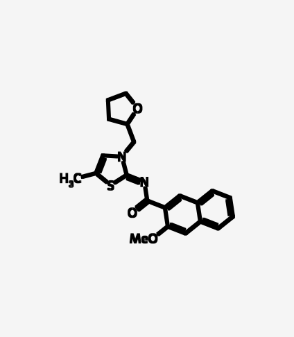 COc1cc2ccccc2cc1C(=O)N=c1sc(C)cn1CC1CCCO1